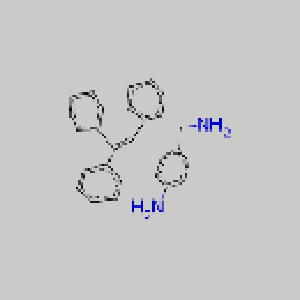 C(=C(c1ccccc1)c1ccccc1)c1ccccc1.NCc1ccc(N)cc1